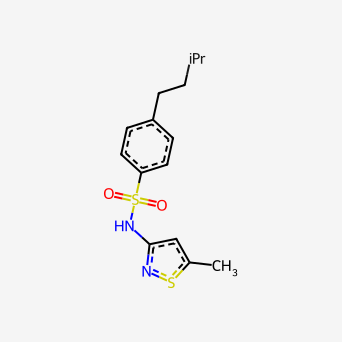 Cc1cc(NS(=O)(=O)c2ccc(CCC(C)C)cc2)ns1